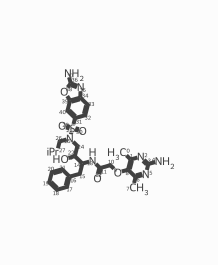 Cc1nc(N)nc(C)c1OCC(=O)NC(Cc1ccccc1)C(O)CN(CC(C)C)S(=O)(=O)c1ccc2nc(N)oc2c1